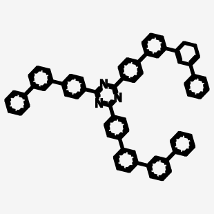 C1=C(c2ccccc2)C=C(c2cccc(-c3ccc(-c4nc(-c5ccc(-c6cccc(-c7ccccc7)c6)cc5)nc(-c5ccc(-c6cccc(-c7cccc(-c8ccccc8)c7)c6)cc5)n4)cc3)c2)CC1